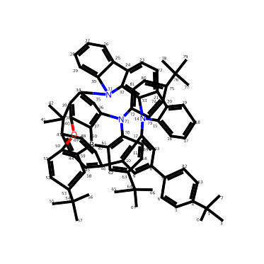 CC(C)(C)c1ccc(-c2cc3cc(c2)-n2c4ccccc4c4ccc5c6ccccc6n(c5c42)-c2cc4c5c(c2C(C)(C)c2ccc-3cc2)Oc2ccc(C(C)(C)C)cc2B5c2cc(C(C)(C)C)ccc2N4c2ccc(C(C)(C)C)cc2)cc1